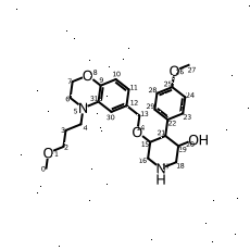 COCCCN1CCOc2ccc(COC3CNCC(O)C3c3ccc(OC)cc3)cc21